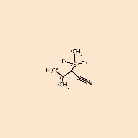 CC(C)C(C#N)[Si](C)(F)F